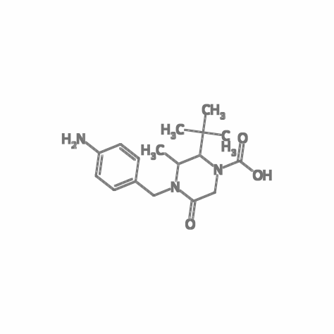 CC1C(C(C)(C)C)N(C(=O)O)CC(=O)N1Cc1ccc(N)cc1